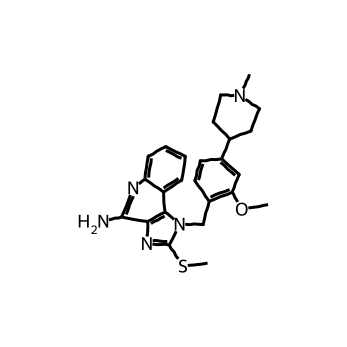 COc1cc(C2CCN(C)CC2)ccc1Cn1c(SC)nc2c(N)nc3ccccc3c21